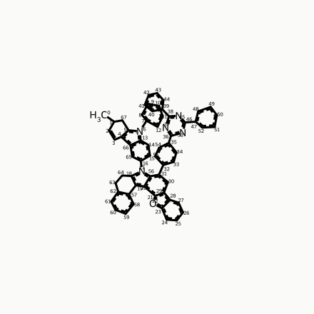 CC1C=Cc2c(n(-c3ccccc3)c3ccc(-n4c5c(c6c7oc8ccccc8c7cc(-c7ccc(-c8nc(-c9ccccc9)nc(-c9ccccc9)n8)cc7)c64)-c4ccccc4CC5)cc23)C1